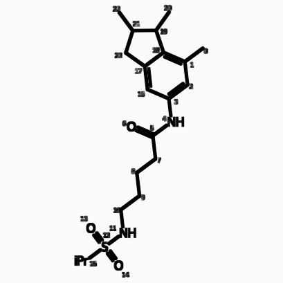 Cc1cc(NC(=O)CCCCNS(=O)(=O)C(C)C)cc2c1C(C)C(C)C2